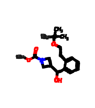 CC(C)(C)OC(=O)N1CC(C(O)c2ccccc2CCO[Si](C)(C)C(C)(C)C)C1